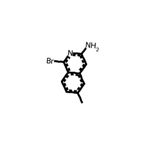 Cc1ccc2c(Br)nc(N)cc2c1